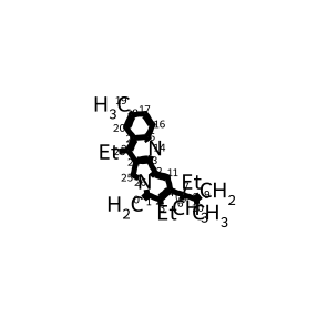 C=C1C(CC)=C([C@@](C)(CC)C(=C)C)C=C2c3nc4ccc(C)cc4c(CC)c3CN12